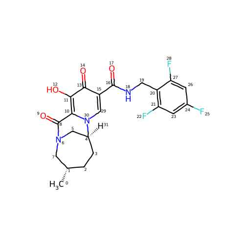 C[C@H]1CC[C@H]2CN(C1)C(=O)c1c(O)c(=O)c(C(=O)NCc3c(F)cc(F)cc3F)cn12